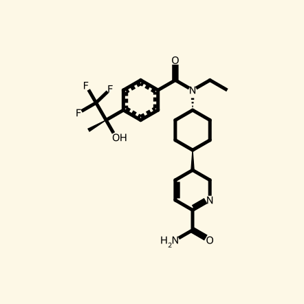 CCN(C(=O)c1ccc([C@](C)(O)C(F)(F)F)cc1)[C@H]1CC[C@H](C2C=CC(C(N)=O)=NC2)CC1